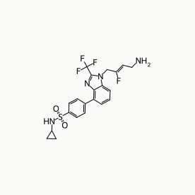 NCC=C(F)Cn1c(C(F)(F)F)nc2c(-c3ccc(S(=O)(=O)NC4CC4)cc3)cccc21